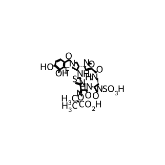 CC(C)(O/N=C(\C(=O)N[C@@H]1C(=O)N(S(=O)(=O)O)[C@@H]1CNC(=O)c1cc([C@@H]2CCN(C(=O)c3ccc(O)c(O)c3F)C2)no1)c1csc(N)n1)C(=O)O